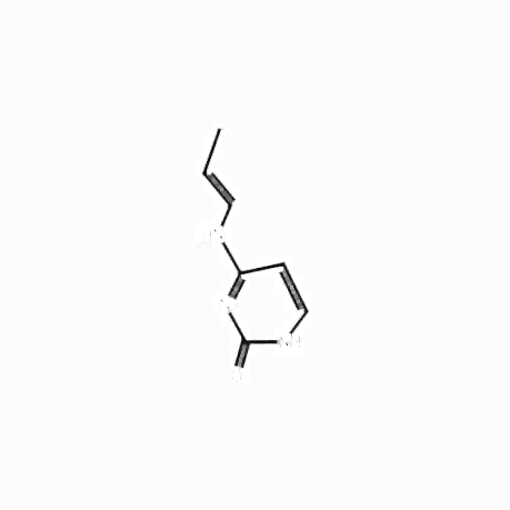 CC=CNc1cc[nH]c(=O)n1